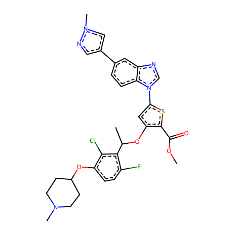 COC(=O)c1sc(-n2cnc3cc(-c4cnn(C)c4)ccc32)cc1OC(C)c1c(F)ccc(OC2CCN(C)CC2)c1Cl